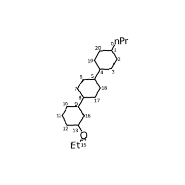 CCCC1CCC(C2CCC(C3CCCC(OCC)C3)CC2)CC1